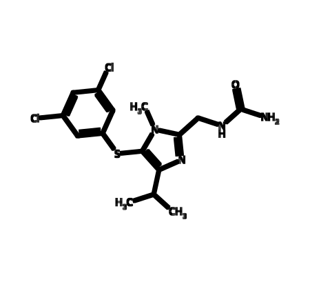 CC(C)c1nc(CNC(N)=O)n(C)c1Sc1cc(Cl)cc(Cl)c1